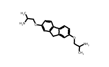 CC(N)COc1ccc2c(c1)Cc1cc(OCC(C)N)ccc1-2